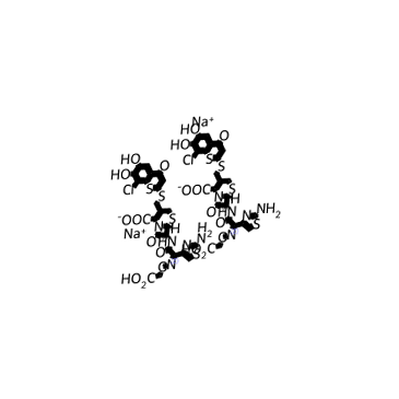 Nc1nc(/C(=N/OCC(=O)O)C(=O)N[C@@H]2C(=O)N3C(C(=O)[O-])=C(CSc4cc(=O)c5cc(O)c(O)c(Cl)c5s4)CS[C@H]23)cs1.Nc1nc(/C(=N/OCC(=O)O)C(=O)N[C@@H]2C(=O)N3C(C(=O)[O-])=C(CSc4cc(=O)c5cc(O)c(O)c(Cl)c5s4)CS[C@H]23)cs1.[Na+].[Na+]